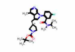 Cc1cncc2c1c(C[C@H]1CCN(C(=O)OC(C)(C)C)C1)cn2-c1ccc(F)cc1C(=O)N(C)C(C)C